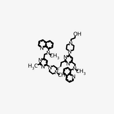 Cc1nc(CN(C)c2cccc3cccnc23)cc(N2CCN(C)[C@@H](CCc3nc(CN(C)c4cccc5cccnc45)cc(N4CCN(CCO)CC4)n3)C2)n1